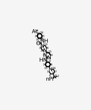 CCCN(C)C1CCN(c2ccc(Nc3nccc(N4CCN(C(=O)Nc5ccc(C(C)=O)cc5)CC4)n3)cc2)CC1